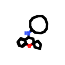 c1ccc2c(c1)OC1(CCCC1)CC2NC1CCCCCCCCCCC1